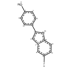 Oc1ccc(-c2cn3cc(I)ccc3n2)cc1